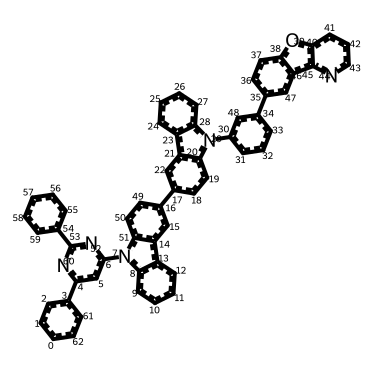 c1ccc(-c2cc(-n3c4ccccc4c4cc(-c5ccc6c(c5)c5ccccc5n6-c5cccc(-c6ccc7oc8cccnc8c7c6)c5)ccc43)nc(-c3ccccc3)n2)cc1